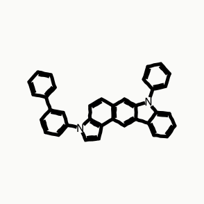 c1ccc(-c2cccc(-n3ccc4c5cc6c7ccccc7n(-c7ccccc7)c6cc5ccc43)c2)cc1